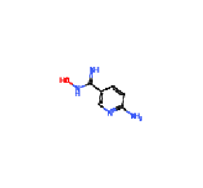 N=C(NO)c1ccc(N)nc1